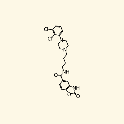 O=C(NCCCCN1CCN(c2cccc(Cl)c2Cl)CC1)c1ccc2oc(=O)[nH]c2c1